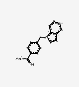 COC(=N)c1ccc(Cn2ccc3cnccc32)cc1